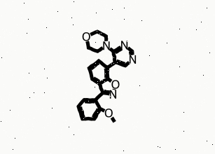 COc1ccccc1-c1noc2c(-c3cncnc3N3CCOCC3)cccc12